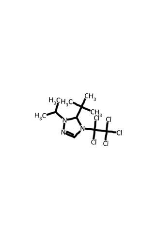 CC(C)N1N=CN(C(Cl)(Cl)C(Cl)(Cl)Cl)C1C(C)(C)C